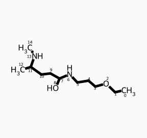 CCOCCCNC(O)CCC(C)NC